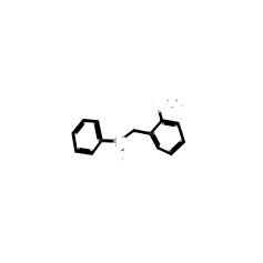 COc1ccccc1CP(Cl)c1ccccc1